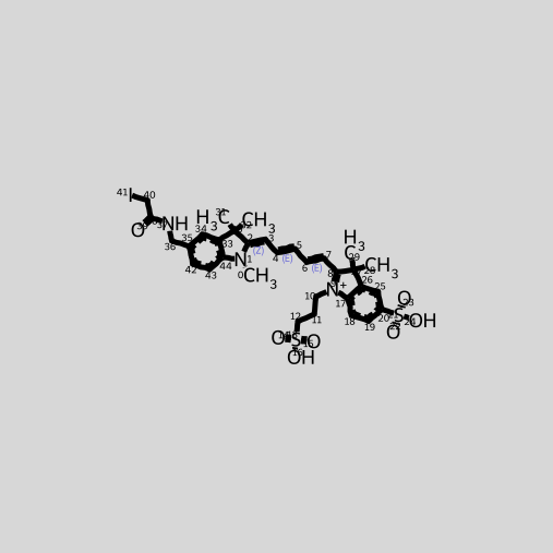 CN1\C(=C/C=C/C=C/C2=[N+](CCCS(=O)(=O)O)c3ccc(S(=O)(=O)O)cc3C2(C)C)C(C)(C)c2cc(CNC(=O)CI)ccc21